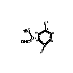 CC(C)(C)OC=O.Fc1ccc(F)cc1